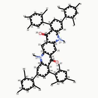 Cc1cc(C)c(-c2cc(-c3cc(C)c(C)cc3C)c3c(=O)c4cc5c(cc4n(C)c3c2)c(=O)c2c(-c3c(C)cc(C)cc3C)cc(-c3c(C)cc(C)cc3C)cc2n5C)c(C)c1